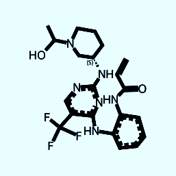 C=CC(=O)Nc1ccccc1Nc1nc(N[C@H]2CCCN(C(C)O)C2)ncc1C(F)(F)F